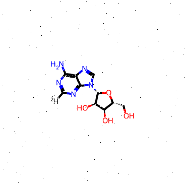 [2H]c1nc(N)c2ncn([C@@H]3O[C@H](CO)[C@@H](O)[C@H]3O)c2n1